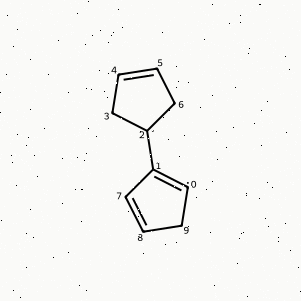 [C]1=C([C]2CC=CC2)C=CC1